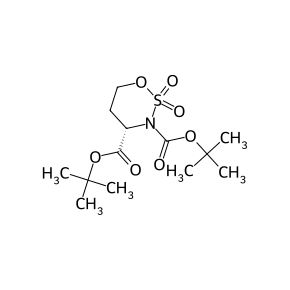 CC(C)(C)OC(=O)[C@@H]1CCOS(=O)(=O)N1C(=O)OC(C)(C)C